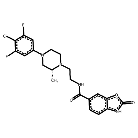 C[C@@H]1CN(c2cc(F)c(Cl)c(F)c2)CCN1CCNC(=O)c1ccc2[nH]c(=O)oc2c1